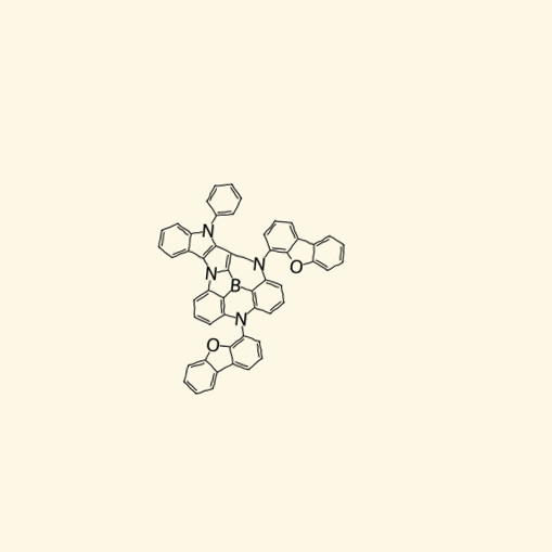 c1ccc(-n2c3ccccc3c3c2c2c4n3-c3cccc5c3B4c3c(cccc3N2c2cccc3c2oc2ccccc23)N5c2cccc3c2oc2ccccc23)cc1